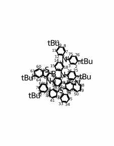 CC(C)(C)c1ccc(N(c2ccc(C(C)(C)C)cc2)c2ccc3c(c2)N(c2ccc(C(C)(C)C)cc2)c2cc(S(c4ccccc4)(c4ccccc4)c4ccc5ncccc5c4)cc4c2B3c2sc3ccc(C(C)(C)C)cc3c2N4c2ccc(C(C)(C)C)cc2)cc1